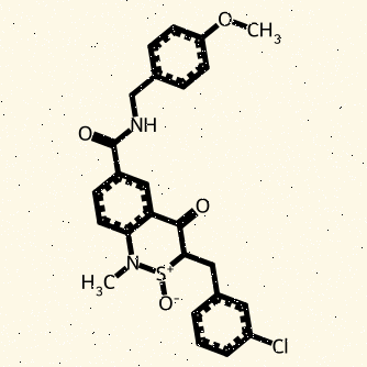 COc1ccc(CNC(=O)c2ccc3c(c2)C(=O)C(Cc2cccc(Cl)c2)[S+]([O-])N3C)cc1